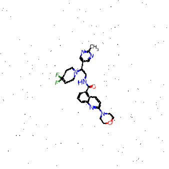 Cc1ncc(C(CNC(=O)c2cccc3nc(N4CCOCC4)ccc23)N2CCC(F)(F)CC2)cn1